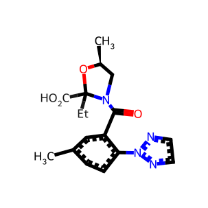 CCC1(C(=O)O)O[C@@H](C)CN1C(=O)c1cc(C)ccc1-n1nccn1